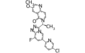 COc1cnc2ccn([C@@H](C)c3nnc4c(F)cc(-c5ccc(Cl)cn5)cn34)c(=O)c2c1